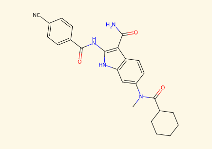 CN(C(=O)C1CCCCC1)c1ccc2c(C(N)=O)c(NC(=O)c3ccc(C#N)cc3)[nH]c2c1